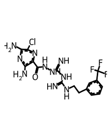 N=C(NCCc1cccc(C(F)(F)F)c1)NC(=N)NNC(=O)c1nc(Cl)c(N)nc1N